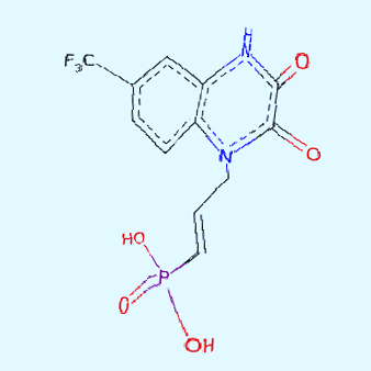 O=c1[nH]c2cc(C(F)(F)F)ccc2n(CC=CP(=O)(O)O)c1=O